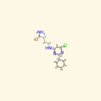 NC(=O)CCCNc1cc(Cl)nc(-c2ccccc2)n1